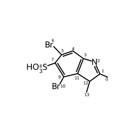 CC1=Nc2cc(Br)c(S(=O)(=O)O)c(Br)c2C1C